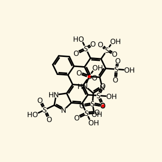 O=S(=O)(O)c1nc2c(S(=O)(=O)O)c(S(=O)(=O)O)c(S(=O)(=O)O)c(-c3ccccc3-c3c(S(=O)(=O)O)c(S(=O)(=O)O)c(S(=O)(=O)O)c4nc(S(=O)(=O)O)[nH]c34)c2[nH]1